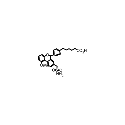 COc1cccc2c1-c1ccc(CS(N)(=O)=O)cc1C(c1ccc(CCCCCC(=O)O)cc1)O2